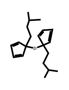 CC(C)CC[C]1([Zr][C]2(CCC(C)C)C=CC=C2)C=CC=C1